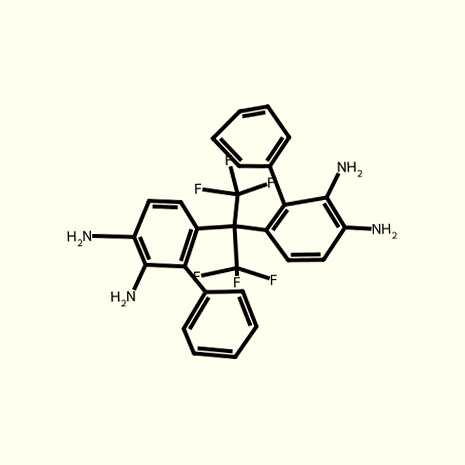 Nc1ccc(C(c2ccc(N)c(N)c2-c2ccccc2)(C(F)(F)F)C(F)(F)F)c(-c2ccccc2)c1N